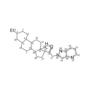 CCC1CCC2C(CCC3C2CCC2(C)C(C(=O)Cn4cc5ncccc5n4)CCC32)C1